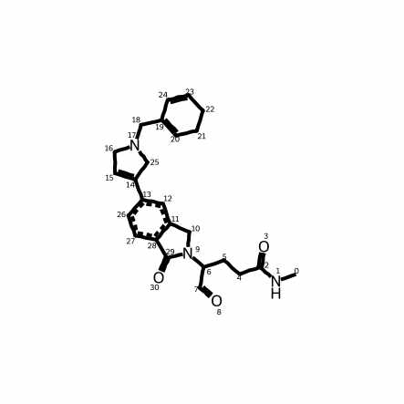 CNC(=O)CCC(C=O)N1Cc2cc(C3=CCN(CC4=CCCC=C4)C3)ccc2C1=O